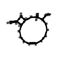 CCCC1CCCC/C=C\CCCC2C(=O)OC2CN1